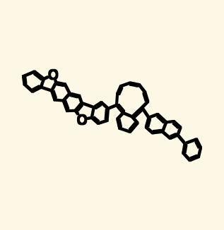 c1ccc(-c2ccc3cc(-c4ccccccc(-c5ccc6oc7cc8cc9c(cc8cc7c6c5)oc5ccccc59)c5ccccc45)ccc3c2)cc1